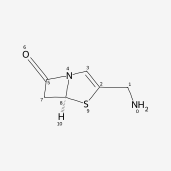 NCC1=CN2C(=O)C[C@@H]2S1